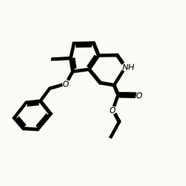 CCOC(=O)C1Cc2c(ccc(C)c2OCc2ccccc2)CN1